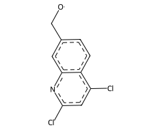 [O]Cc1ccc2c(Cl)cc(Cl)nc2c1